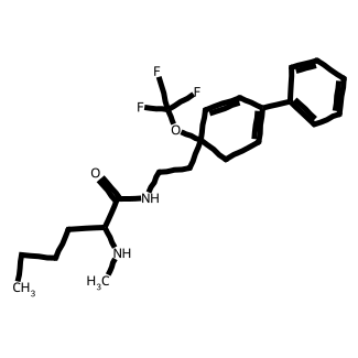 CCCCC(NC)C(=O)NCCC1(OC(F)(F)F)C=CC(c2ccccc2)=CC1